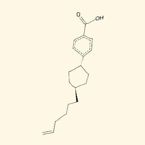 C=CCCCC[C@H]1CC[C@H](c2ccc(C(=O)O)cc2)CC1